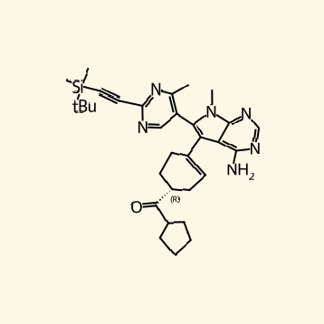 Cc1nc(C#C[Si](C)(C)C(C)(C)C)ncc1-c1c(C2=CC[C@H](C(=O)C3CCCC3)CC2)c2c(N)ncnc2n1C